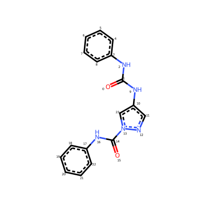 O=C(Nc1ccccc1)Nc1cnn(C(=O)Nc2ccccc2)c1